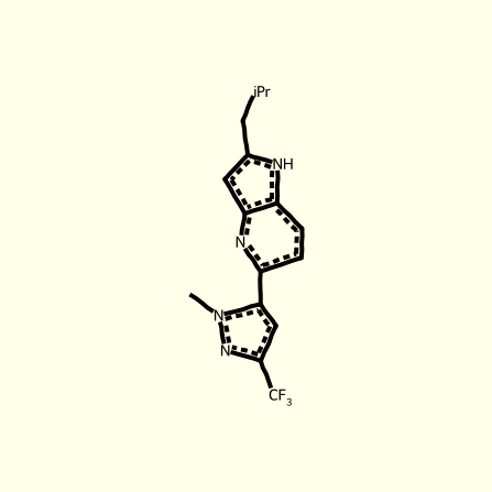 CC(C)Cc1cc2nc(-c3cc(C(F)(F)F)nn3C)ccc2[nH]1